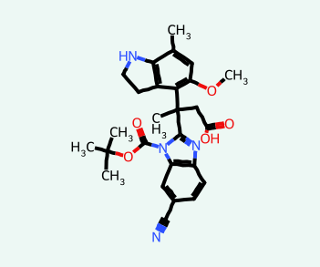 COc1cc(C)c2c(c1C(C)(CC(=O)O)c1nc3ccc(C#N)cc3n1C(=O)OC(C)(C)C)CCN2